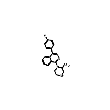 CC1CNCCN1c1nnc(-c2ccc(F)cc2)c2ccccc12